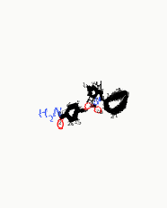 NC(=O)c1ccc(COC(=O)N2[C@@H]3CCC[C@@H]3C[C@H]2c2ccccc2)cc1